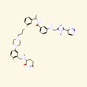 CC(NC(=O)c1cccc(NCc2nnc(-c3ccncn3)n2C)c1)c1cccc(OCCCN2CCN(c3ccc(C=O)c(CN(C)C4CCC(=O)NC4=O)c3)CC2)c1